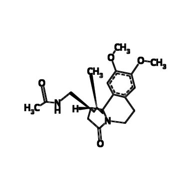 COc1cc2c(cc1OC)[C@@]13C[C@H](C)[C@@H](CNC(C)=O)[C@@H]1CC(=O)N3CC2